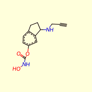 C#CCNC1CCc2ccc(OC(=O)NO)cc21